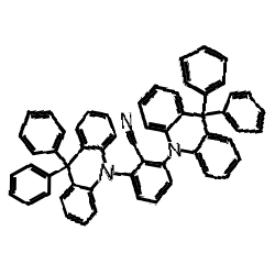 N#Cc1c(N2c3ccccc3C(c3ccccc3)(c3ccccc3)c3ccccc32)cccc1N1c2ccccc2C(c2ccccc2)(c2ccccc2)c2ccccc21